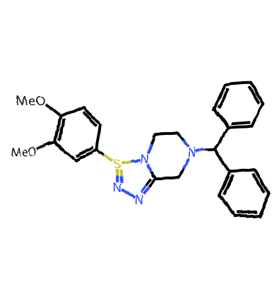 COc1ccc(S2=NN=C3CN(C(c4ccccc4)c4ccccc4)CCN32)cc1OC